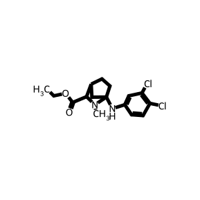 CCOC(=O)C1C2CCC(Nc3ccc(Cl)c(Cl)c3)(C2)N1C